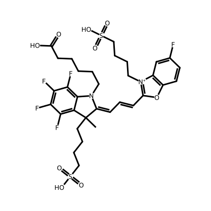 CC1(CCCCS(=O)(=O)O)C(=CC=Cc2oc3ccc(F)cc3[n+]2CCCCS(=O)(=O)O)N(CCCCCC(=O)O)c2c(F)c(F)c(F)c(F)c21